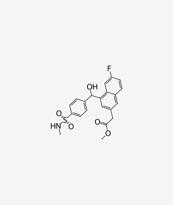 CNS(=O)(=O)c1ccc(C(O)c2cc(CC(=O)OC)cc3ccc(F)cc23)cc1